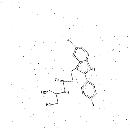 O=C(CCc1c(-c2ccc(F)cc2)[nH]c2ccc(F)cc12)NC(CO)CO